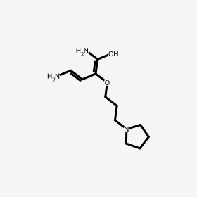 N/C=C/C(OCCCN1CCCC1)=C(\N)O